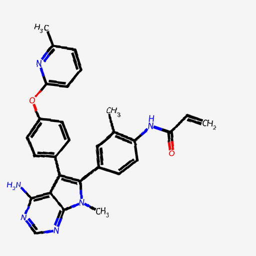 C=CC(=O)Nc1ccc(-c2c(-c3ccc(Oc4cccc(C)n4)cc3)c3c(N)ncnc3n2C)cc1C